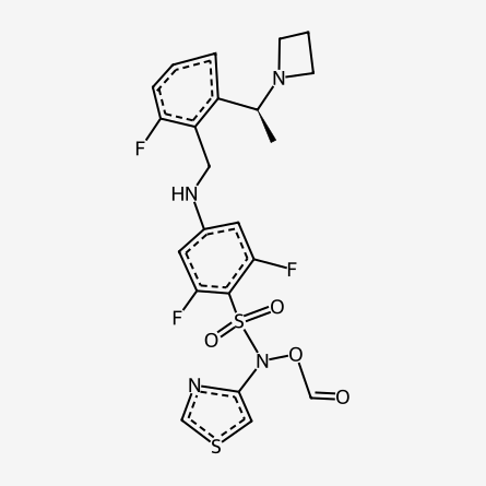 C[C@@H](c1cccc(F)c1CNc1cc(F)c(S(=O)(=O)N(OC=O)c2cscn2)c(F)c1)N1CCC1